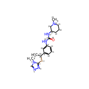 C[C@H](Sc1nncn1C)c1cccc(NC(=O)NC2CCCN(C)C2)c1